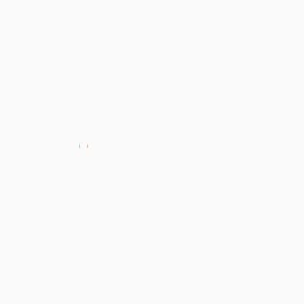 c1ccc2c(C3COC3)occ2c1